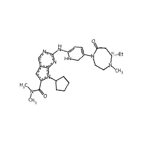 CC[C@H]1CC(=O)N(C2=CC=C(Nc3ncc4cc(C(=O)N(C)C)n(C5CCCC5)c4n3)NC2)CCN1C